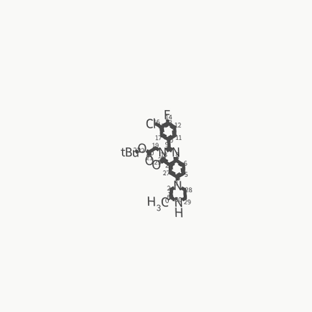 C[C@@H]1CN(c2ccc3nc(-c4ccc(F)c(Cl)c4)n(CC(=O)OC(C)(C)C)c(=O)c3c2)CCN1